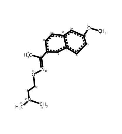 COc1ccc2cc(C(C)=NOCCN(C)C)ccc2c1